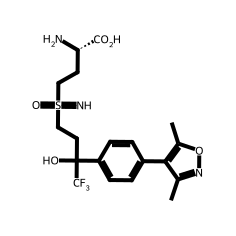 Cc1noc(C)c1-c1ccc(C(O)(CCS(=N)(=O)CC[C@H](N)C(=O)O)C(F)(F)F)cc1